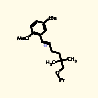 COc1ccc(C(C)(C)C)cc1/C=C/CCC(C)(C)COC(C)C